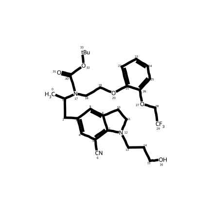 CC(Cc1cc(C#N)c2c(c1)CCN2CCCO)N(CCOc1ccccc1OCC(F)(F)F)C(=O)OC(C)(C)C